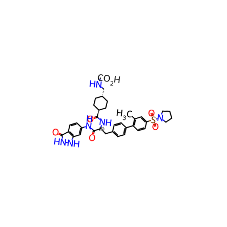 Cc1cc(S(=O)(=O)N2CCCC2)ccc1-c1ccc(C[C@H](NC(=O)[C@H]2CC[C@H](CNC(=O)O)CC2)C(=O)Nc2ccc3c(=O)[nH][nH]c3c2)cc1